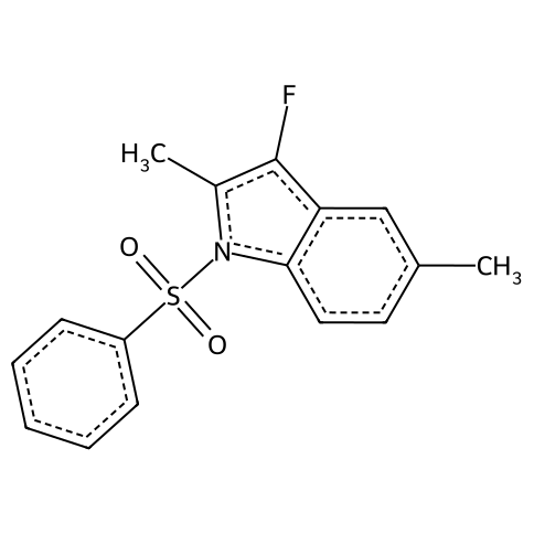 Cc1ccc2c(c1)c(F)c(C)n2S(=O)(=O)c1ccccc1